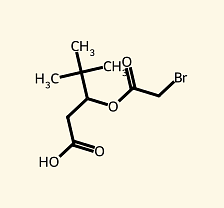 CC(C)(C)C(CC(=O)O)OC(=O)CBr